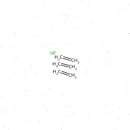 C=C.C=C.C=C.F